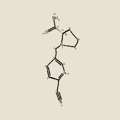 N#Cc1ccc(CN2CCC[C@H]2C(N)=O)cn1